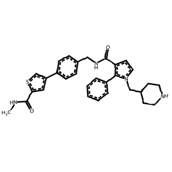 CNC(=O)c1cc(-c2ccc(CNC(=O)c3ccn(CC4CCNCC4)c3-c3ccccc3)cc2)cs1